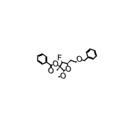 CO[C@H]1O[C@H](CCOCc2ccccc2)[C@@H](F)[C@@]1(C)OC(=O)c1ccccc1